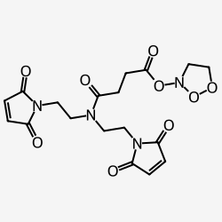 O=C(CCC(=O)N(CCN1C(=O)C=CC1=O)CCN1C(=O)C=CC1=O)ON1CCOO1